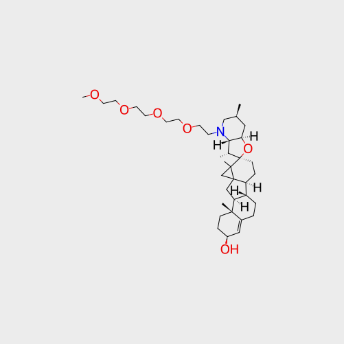 COCCOCCOCCOCCN1C[C@@H](C)C[C@H]2O[C@]3(CC[C@H]4[C@@H]5CCC6=C[C@@H](O)CC[C@]6(C)[C@H]5CC45CC53C)[C@H](C)[C@@H]21